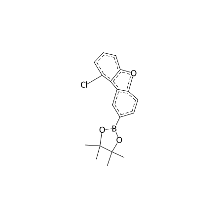 CC1(C)OB(c2ccc3oc4cccc(Cl)c4c3c2)OC1(C)C